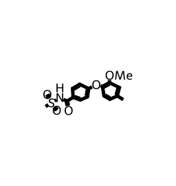 COc1cc(C)ccc1Oc1ccc(C(=O)NS(C)(=O)=O)cc1